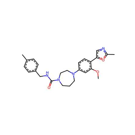 COc1cc(N2CCCN(C(=O)NCc3ccc(C)cc3)CC2)ccc1-c1cnc(C)o1